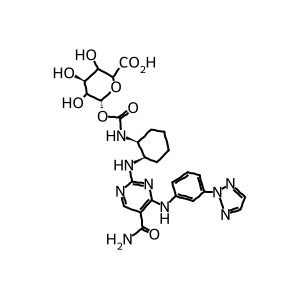 NC(=O)c1cnc(N[C@@H]2CCCC[C@@H]2NC(=O)O[C@H]2OC(C(=O)O)C(O)[C@H](O)C2O)nc1Nc1cccc(-n2nccn2)c1